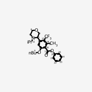 CCCCOc1cc(C2COCCN2C(C)C)c(C(F)(F)F)c(C)c1C(=O)Oc1ccccc1